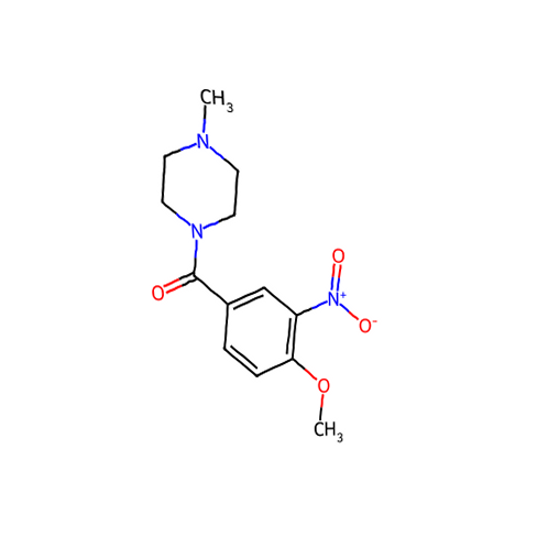 COc1ccc(C(=O)N2CCN(C)CC2)cc1[N+](=O)[O-]